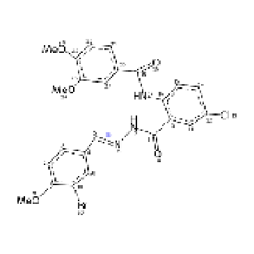 COc1ccc(/C=N/NC(=O)c2cc(Cl)ccc2NC(=O)c2ccc(OC)c(OC)c2)cc1Br